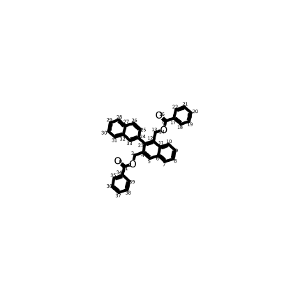 O=C(OCc1cc2ccccc2c(COC(=O)c2ccccc2)c1-c1ccc2ccccc2c1)c1ccccc1